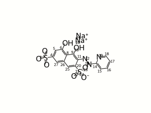 O=S(=O)([O-])c1cc(O)c2c(O)c(N=Nc3ccccn3)c(S(=O)(=O)[O-])cc2c1.[Na+].[Na+]